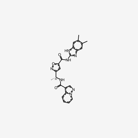 Cc1cc2nc(NC(=O)c3cc([C@@H](C)NC(=O)c4cnn5ccccc45)no3)[nH]c2cc1C